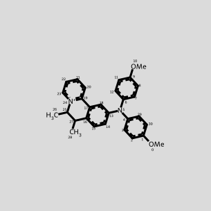 COc1ccc(N(c2ccc(OC)cc2)c2ccc3c(c2)-c2cccc[n+]2C(C)C3C)cc1